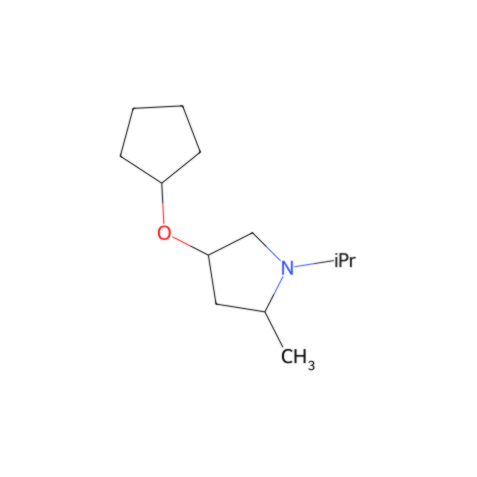 CC(C)N1CC(OC2CCCC2)CC1C